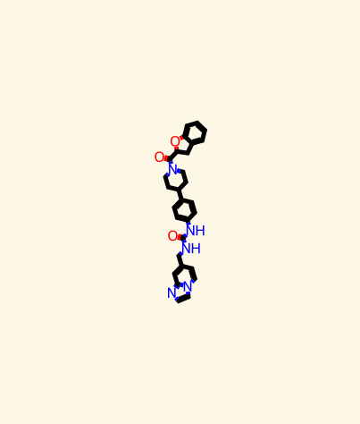 O=C(NCc1ccn2ccnc2c1)Nc1ccc(C2CCN(C(=O)C3Cc4ccccc4O3)CC2)cc1